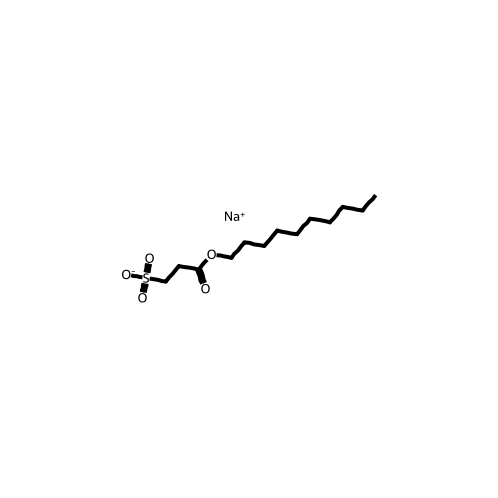 CCCCCCCCCCOC(=O)CCS(=O)(=O)[O-].[Na+]